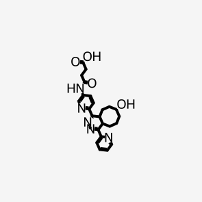 O=C(O)CCC(=O)Nc1ccc(C2=NN=C(c3ccccn3)C3CCCC(O)CCC23)nc1